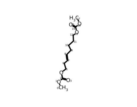 COC(=O)OCCC=CCCCCOC(=O)OC